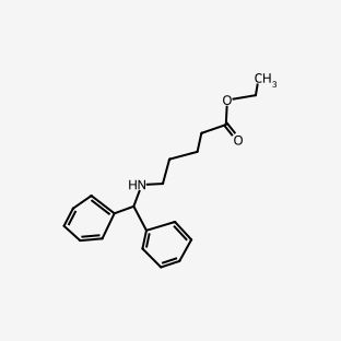 CCOC(=O)CCCCNC(c1ccccc1)c1ccccc1